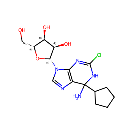 NC1(C2CCCC2)NC(Cl)=Nc2c1ncn2[C@@H]1O[C@H](CO)[C@@H](O)[C@H]1O